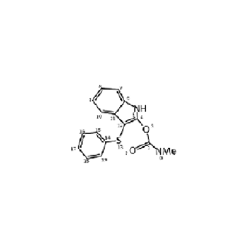 CNC(=O)Oc1[nH]c2ccccc2c1Sc1ccccc1